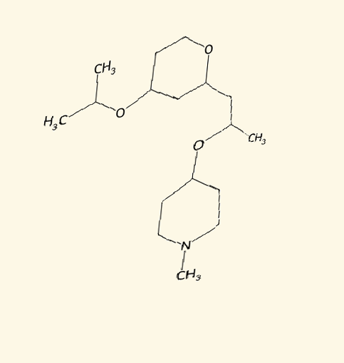 CC(C)OC1CCOC(CC(C)OC2CCN(C)CC2)C1